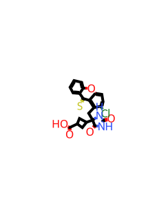 O=C1NC(=O)C(Cc2c(Cl)ccc3oc4ccccc4c(=S)c23)(C2CC(C(=O)O)C2)N1